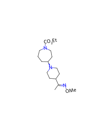 CCOC(=O)N1CCC[C@H](N2CCC(C(C)=NOC)CC2)CC1